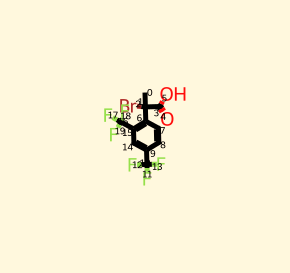 CC(Br)(C(=O)O)c1ccc(C(F)(F)F)cc1C(F)(F)F